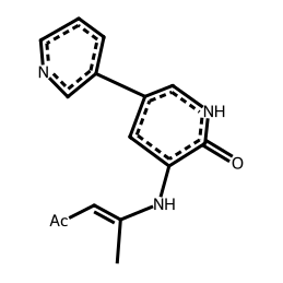 CC(=O)C=C(C)Nc1cc(-c2cccnc2)c[nH]c1=O